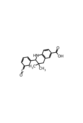 CC1(C)Cc2cc(C(=O)O)ccc2NC1C1=CC=CC(=C=O)C1